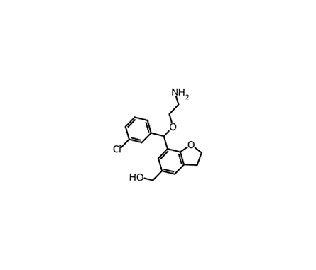 NCCOC(c1cccc(Cl)c1)c1cc(CO)cc2c1OCC2